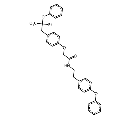 CCC(Cc1ccc(OCC(=O)NCCc2ccc(Oc3ccccc3)cc2)cc1)(Oc1ccccc1)C(=O)O